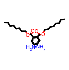 CCCCCCCCOC(=O)c1ccccc1C(=O)OCCCCCCCC.NN